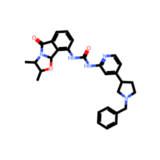 CC1OC2c3c(NC(=O)Nc4cc(C5CCN(Cc6ccccc6)C5)ccn4)cccc3C(=O)N2C1C